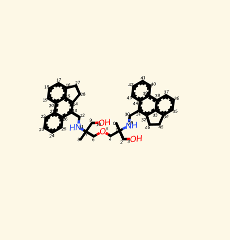 CC(CO)(COCC(C)(CO)NCc1c2c3c(cccc3c3ccccc13)CC2)NCc1c2c3c(cccc3c3ccccc13)CC2